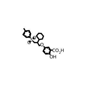 Cc1ccc(S(=O)(=O)CC(COc2ccc(O)c(C(=O)O)c2)C2CCCCC2)cc1